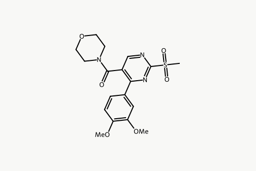 COc1ccc(-c2nc(S(C)(=O)=O)ncc2C(=O)N2CCOCC2)cc1OC